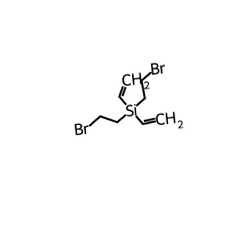 C=C[Si](C=C)(CCBr)CCBr